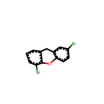 Brc1ccc2c(c1)Cc1cccc(Br)c1O2